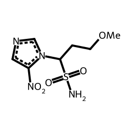 COCCC(n1cncc1[N+](=O)[O-])S(N)(=O)=O